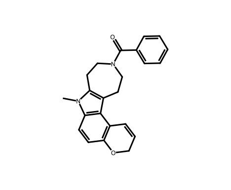 Cn1c2c(c3c4c(ccc31)OCC=C4)CCN(C(=O)c1ccccc1)CC2